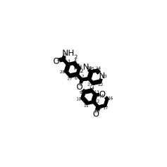 NC(=O)c1ccc(C(Oc2ccc3c(c2)OCCC3=O)c2ccncc2N)cc1